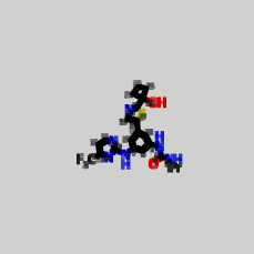 CC(C)NC(=O)Nc1cc(Nc2nccc(C(F)(F)F)n2)cc(-c2cnc(C3(O)CCC3)s2)c1